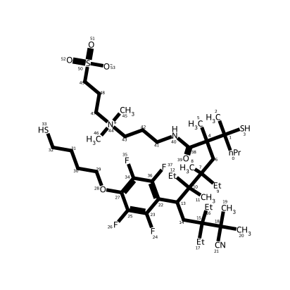 CCCC(C)(S)C(C)(CC(C)(CC)C(C)(CC)C(CC(CC)(CC)C(C)(C)C#N)c1c(F)c(F)c(OCCCCS)c(F)c1F)C(=O)NCCC[N+](C)(C)CCCS(=O)(=O)[O-]